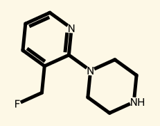 FCc1cccnc1N1CCNCC1